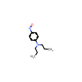 CCCN(CCC)c1ccc(N=O)cc1